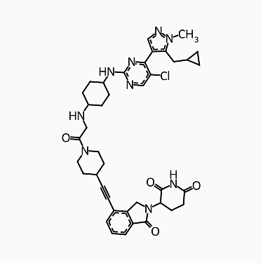 Cn1ncc(-c2nc(NC3CCC(NCC(=O)N4CCC(C#Cc5cccc6c5CN(C5CCC(=O)NC5=O)C6=O)CC4)CC3)ncc2Cl)c1CC1CC1